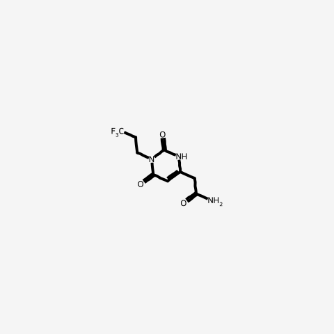 NC(=O)Cc1cc(=O)n(CCC(F)(F)F)c(=O)[nH]1